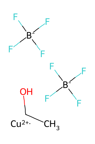 CCO.F[B-](F)(F)F.F[B-](F)(F)F.[Cu+2]